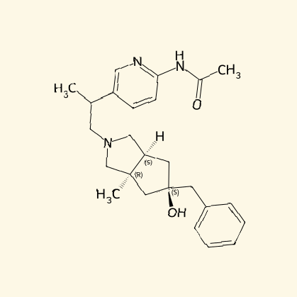 CC(=O)Nc1ccc(C(C)CN2C[C@H]3C[C@](O)(Cc4ccccc4)C[C@@]3(C)C2)cn1